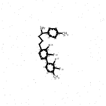 CCCC(CCCc1ccc(-c2ccc(C)c(F)c2F)c(F)c1F)c1ccc(C)cc1